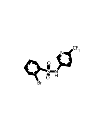 O=S(=O)(Nc1ccc(C(F)(F)F)nc1)c1ccccc1Br